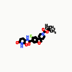 CC(C)(C)OC(=O)N1CCC2(CC1)COc1cc(C(=O)N[C@H]3CCC(=O)NC3=O)c(F)cc12